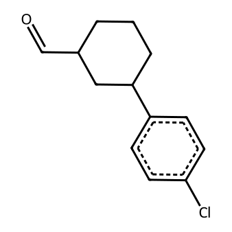 O=CC1CCCC(c2ccc(Cl)cc2)C1